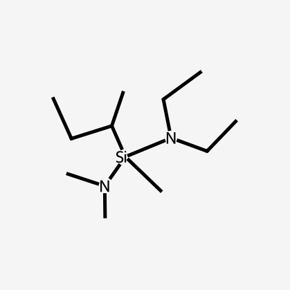 CCC(C)[Si](C)(N(C)C)N(CC)CC